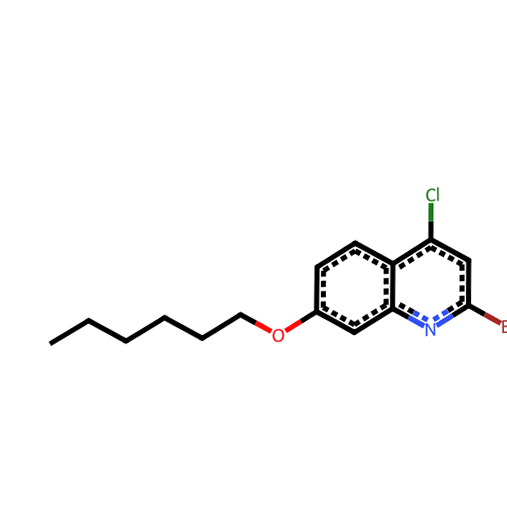 CCCCCCOc1ccc2c(Cl)cc(Br)nc2c1